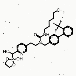 CCCCCCNC(=O)N(CCc1ccc(C(O)[P]2(O)OCCO2)nc1)Cc1ccc(-c2ccccc2C(F)(F)F)cc1